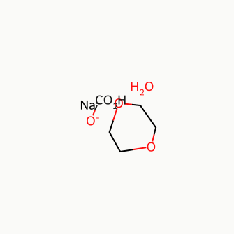 C1COCCO1.O.O=C([O-])O.[Na+]